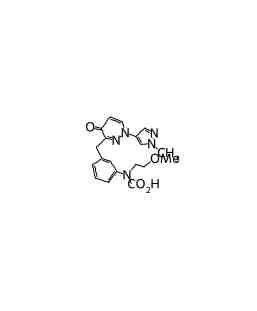 COCCN(C(=O)O)c1cccc(Cc2nn(-c3cnn(C)c3)ccc2=O)c1